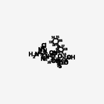 CO[C@H](CO[C@@](Cc1ccc(-c2ccccc2)cc1)(C(=O)O)c1cscn1)[C@@](C)(O)[C@@H](O)n1cnc2c(N)nc(Cl)nc21